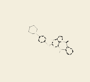 CN1c2ccccc2C(=O)n2ccc3nc(Nc4ccc(N5CCC(O)CC5)cc4)nc1c32